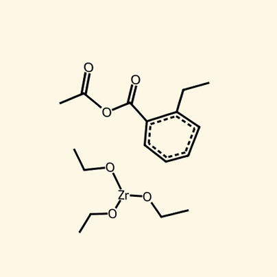 CC[O][Zr]([O]CC)[O]CC.CCc1ccccc1C(=O)OC(C)=O